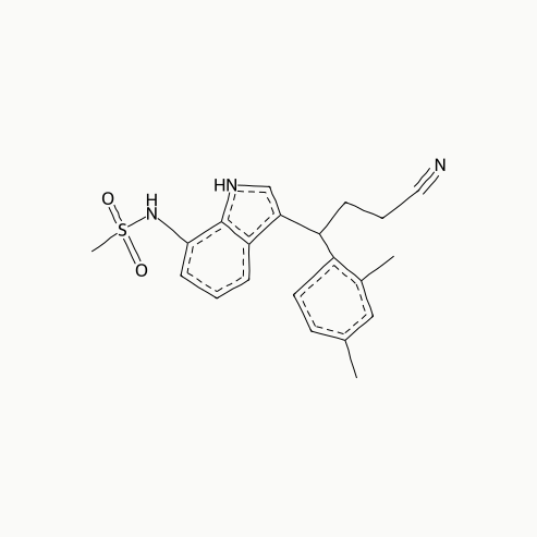 Cc1ccc(C(CCC#N)c2c[nH]c3c(NS(C)(=O)=O)cccc23)c(C)c1